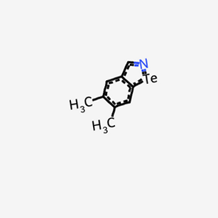 Cc1cc2cn[te]c2cc1C